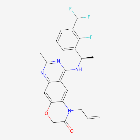 C=CCN1C(=O)COc2cc3nc(C)nc(N[C@H](C)c4cccc(C(F)F)c4F)c3cc21